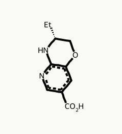 CC[C@@H]1COc2cc(C(=O)O)cnc2N1